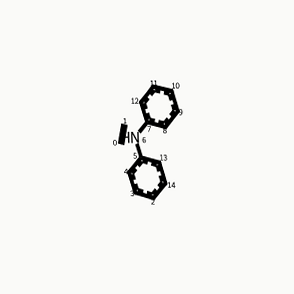 C=C.c1ccc(Nc2ccccc2)cc1